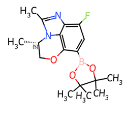 Cc1nc2c(F)cc(B3OC(C)(C)C(C)(C)O3)c3c2n1[C@@H](C)CO3